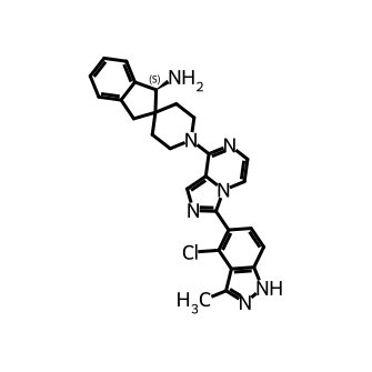 Cc1n[nH]c2ccc(-c3ncc4c(N5CCC6(CC5)Cc5ccccc5[C@H]6N)nccn34)c(Cl)c12